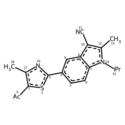 CC(=O)c1sc(-c2ccc3c(c2)c(C#N)c(C)n3C(C)C)nc1C